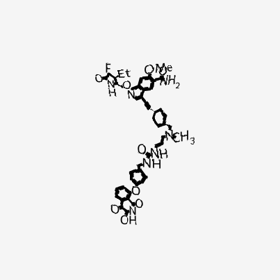 CC[C@@H]1[C@H](F)C(=O)N[C@@H]1COc1ncc(C#C[C@H]2CC[C@H](CN(C)CCCNC(=O)NCc3ccc(Oc4cccc5c4C(=O)NC(=O)C5=O)cc3)CC2)c2cc(C(N)=O)c(OC)cc12